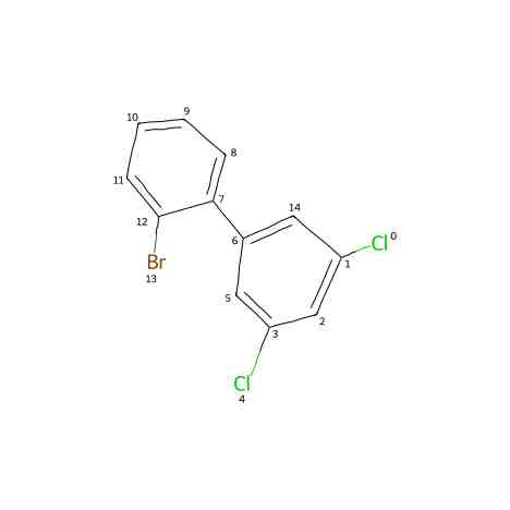 Clc1cc(Cl)cc(-c2ccccc2Br)c1